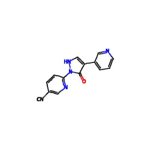 [C-]#[N+]c1ccc(-n2[nH]cc(-c3cccnc3)c2=O)nc1